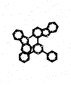 c1ccc(-c2cc(-c3c(-n4c5ccccc5c5ccccc54)ccc4c3sc3ccccc34)nc(-c3ccccc3)n2)cc1